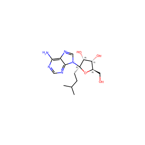 CC(C)CC[C@@]1(n2cnc3c(N)ncnc32)O[C@H](CO)[C@@H](O)[C@H]1O